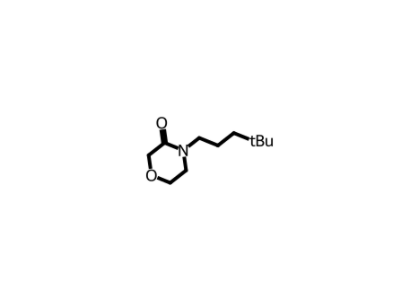 CC(C)(C)CCCN1CCOCC1=O